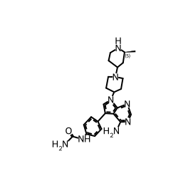 C[C@H]1CC(N2CCC(n3cc(-c4ccc(NC(N)=O)cc4)c4c(N)ncnc43)CC2)CCN1